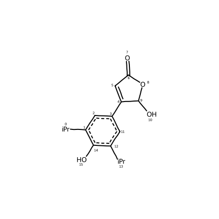 CC(C)c1cc(C2=CC(=O)OC2O)cc(C(C)C)c1O